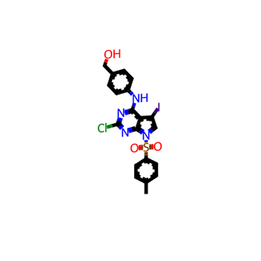 Cc1ccc(S(=O)(=O)n2cc(I)c3c(Nc4ccc(CO)cc4)nc(Cl)nc32)cc1